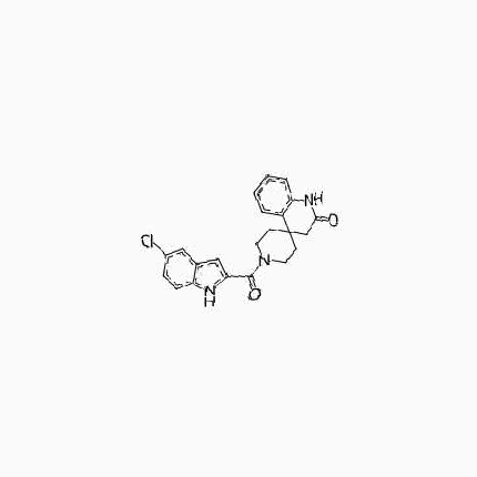 O=C1CC2(CCN(C(=O)c3cc4cc(Cl)ccc4[nH]3)CC2)c2ccccc2N1